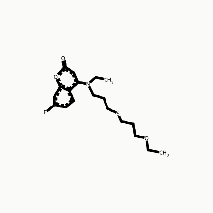 CCOCCCSCCCN(CC)c1cc(=O)oc2cc(F)ccc12